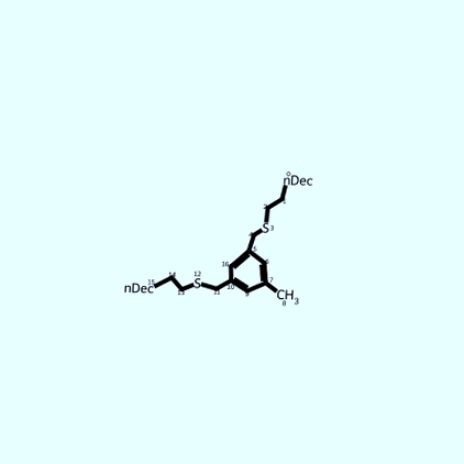 CCCCCCCCCCCCSCc1cc(C)cc(CSCCCCCCCCCCCC)c1